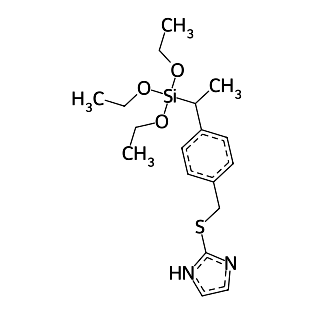 CCO[Si](OCC)(OCC)C(C)c1ccc(CSc2ncc[nH]2)cc1